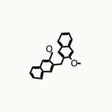 COc1cc2ccccc2cc1Cc1cc2ccccc2cc1C=O